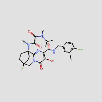 Cc1cc(CNC(=O)c2nc3n(c(=O)c2O)CC2(F)CCC3(N(C)C(=O)C(=O)N(C)C(C)C)CC2)ccc1F